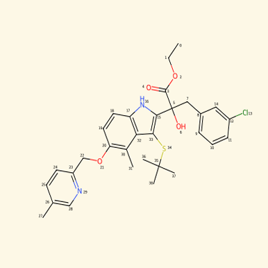 CCOC(=O)C(O)(Cc1cccc(Cl)c1)c1[nH]c2ccc(OCc3ccc(C)cn3)c(C)c2c1SC(C)(C)C